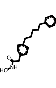 O=C(Cc1ccc(CCCCCc2ccccc2)cc1)NO